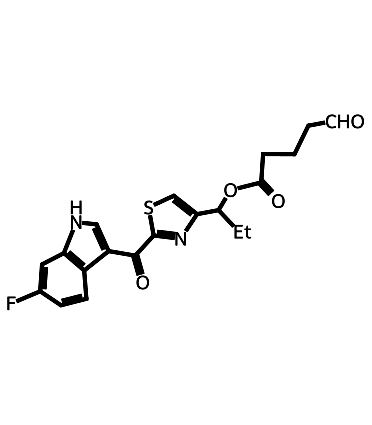 CCC(OC(=O)CCCC=O)c1csc(C(=O)c2c[nH]c3cc(F)ccc23)n1